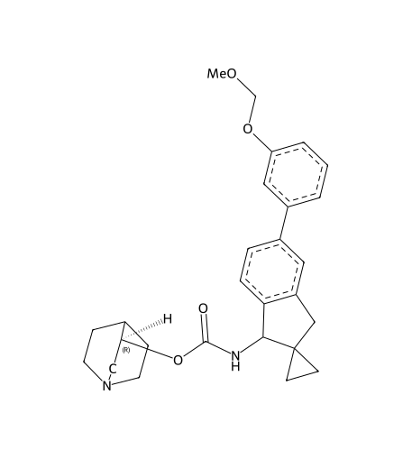 COCOc1cccc(-c2ccc3c(c2)CC2(CC2)C3NC(=O)O[C@H]2CN3CCC2CC3)c1